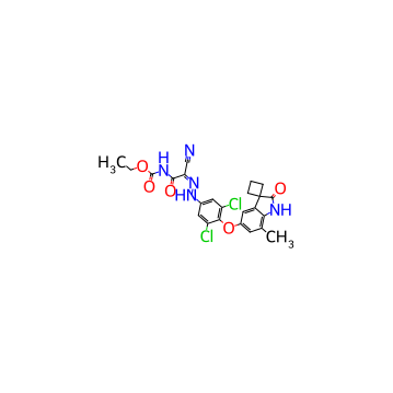 CCOC(=O)NC(=O)C(C#N)=NNc1cc(Cl)c(Oc2cc(C)c3c(c2)C2(CCC2)C(=O)N3)c(Cl)c1